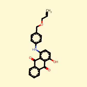 C=CCOCc1ccc(Nc2ccc(O)c3c2C(=O)c2ccccc2C3=O)cc1